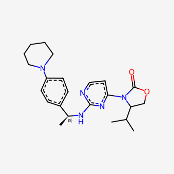 CC(C)C1COC(=O)N1c1ccnc(N[C@@H](C)c2ccc(N3CCCCC3)cc2)n1